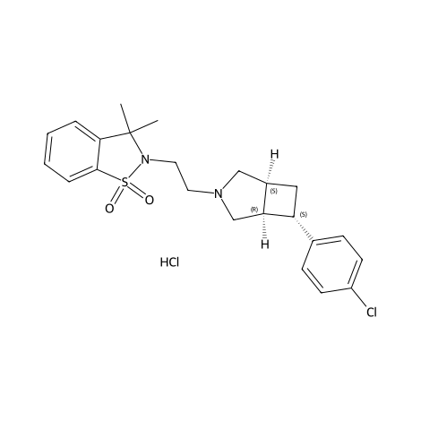 CC1(C)c2ccccc2S(=O)(=O)N1CCN1C[C@H]2C[C@H](c3ccc(Cl)cc3)[C@H]2C1.Cl